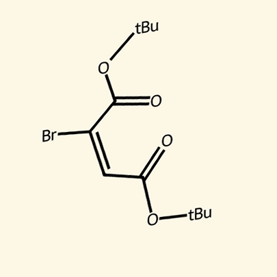 CC(C)(C)OC(=O)/C=C(/Br)C(=O)OC(C)(C)C